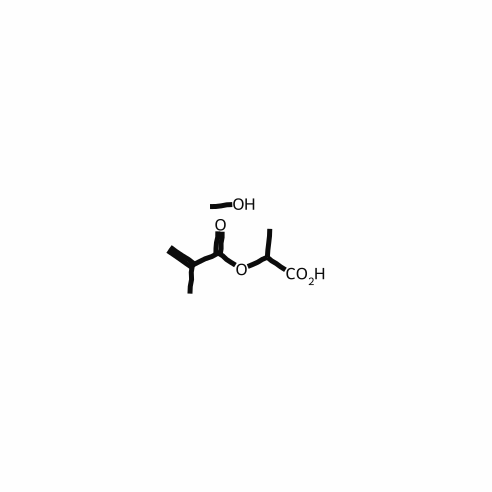 C=C(C)C(=O)OC(C)C(=O)O.CO